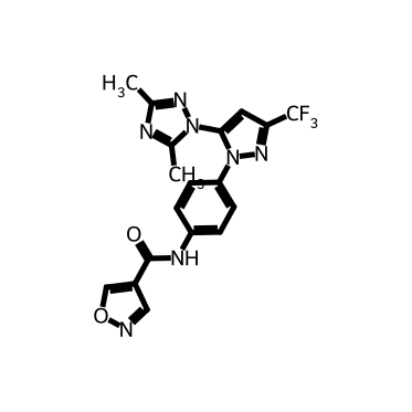 Cc1nc(C)n(-c2cc(C(F)(F)F)nn2-c2ccc(NC(=O)c3cnoc3)cc2)n1